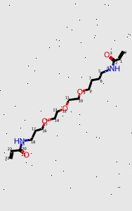 C=CC(=O)NCCCCOCCOCCOCCCNC(=O)C=C